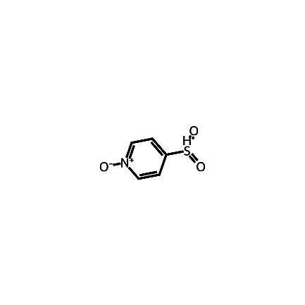 O=[SH](=O)c1cc[n+]([O-])cc1